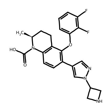 C[C@H]1CCc2c(ccc(-c3cnn(C4CNC4)c3)c2Oc2cccc(F)c2F)N1C(=O)O